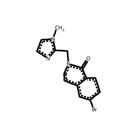 Cn1ccnc1Cn1ccc2cc(Br)ccc2c1=O